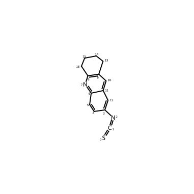 S=C=Nc1ccc2nc3c(cc2c1)CCCC3